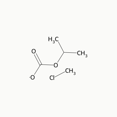 CC(C)OC([O])=O.CCl